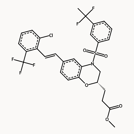 COC(=O)CC[C@H]1CN(S(=O)(=O)c2cccc(C(C)(F)F)c2)c2cc(/C=C/c3c(Cl)cccc3C(F)(F)F)ccc2O1